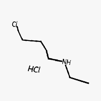 CCNCCCCl.Cl